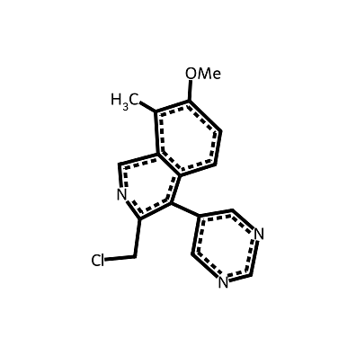 COc1ccc2c(-c3cncnc3)c(CCl)ncc2c1C